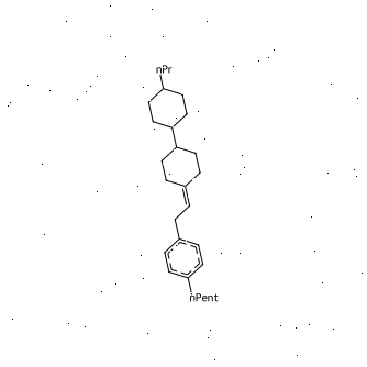 CCCCCc1ccc(CC=C2CCC(C3CCC(CCC)CC3)CC2)cc1